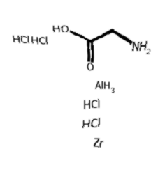 Cl.Cl.Cl.Cl.NCC(=O)O.[AlH3].[Zr]